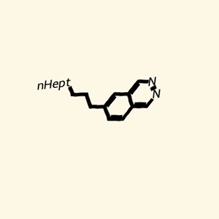 CCCCCCCCCCc1ccc2cnncc2c1